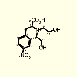 O=C(O)[C@H](Cc1ccc([N+](=O)[O-])cc1)N(CCO)CCO